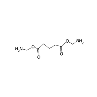 NCOC(=O)CCCC(=O)OCN